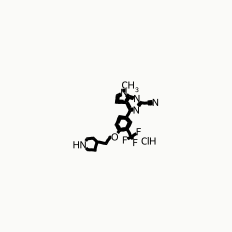 Cl.Cn1ccc2c(-c3ccc(OCCC4CCNCC4)c(C(F)(F)F)c3)nc(C#N)nc21